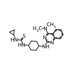 CN(C)c1nc(NC2CCC(NC(=S)NC3CC3)CC2)nc2ccccc12